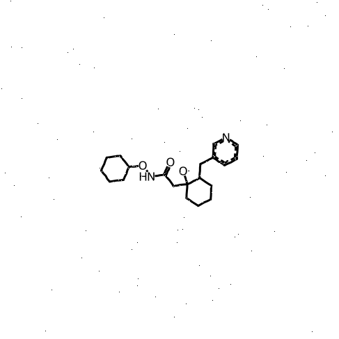 [O]C1(CC(=O)NOC2CCCCC2)CCCCC1Cc1cccnc1